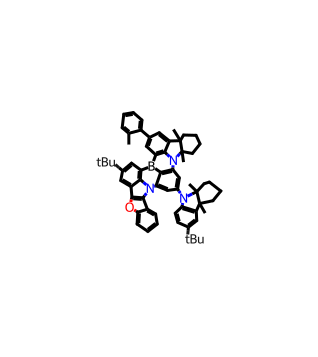 Cc1ccccc1-c1cc2c3c(c1)C1(C)CCCCC1(C)N3c1cc(N3c4ccc(C(C)(C)C)cc4C4(C)CCCCC34C)cc3c1B2c1cc(C(C)(C)C)cc2c4oc5ccccc5c4n-3c12